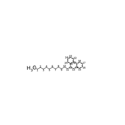 CCCCCCCCCCCCC(Cc1ccccc1)c1ccccc1